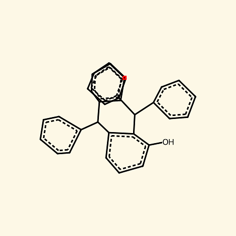 Oc1cccc(C(c2ccccc2)c2ccccc2)c1C(c1ccccc1)c1ccccc1